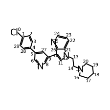 Clc1ccc(-c2cncc(-c3cn(CCN4CCCCC4)c4cccnc34)c2)cc1